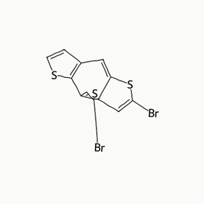 BrC1=CC23SC(Br)C=C2c2sccc2C=C3S1